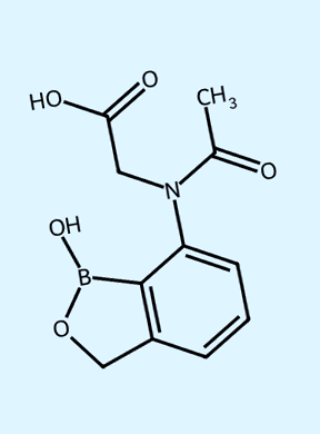 CC(=O)N(CC(=O)O)c1cccc2c1B(O)OC2